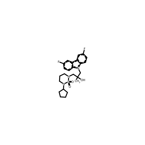 CC(O)(CN1CCCN(C2CCCC2)S1(=O)=O)Cn1c2ccc(F)cc2c2cc(F)ccc21